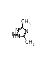 Cc1n[nH]c(C)n1.[Na]